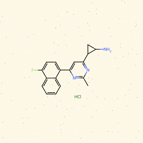 Cc1nc(-c2ccc(F)c3ccccc23)cc(C2CC2N)n1.Cl